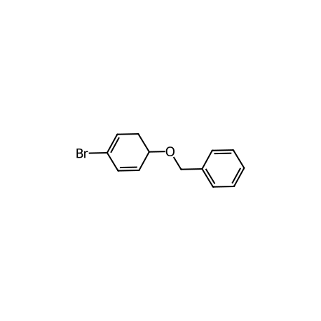 BrC1=CCC(OCc2ccccc2)C=C1